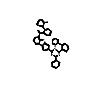 C=C(c1ccccc1-c1ccccc1C)c1cccc2c1oc1cc(C3=NC(c4ccccc4)=NC(c4ccccc4-c4ccccc4)N3)ccc12